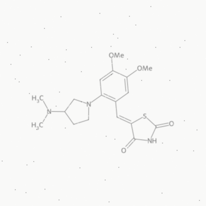 COc1cc(/C=C2\SC(=O)NC2=O)c(N2CCC(N(C)C)C2)cc1OC